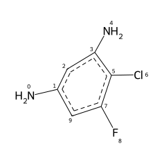 Nc1cc(N)c(Cl)c(F)c1